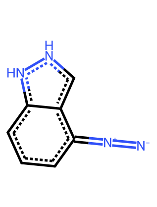 [N-]=[N+]=c1cccc2[nH][nH]cc1-2